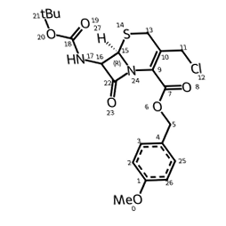 COc1ccc(COC(=O)C2=C(CCl)CS[C@@H]3C(NC(=O)OC(C)(C)C)C(=O)N23)cc1